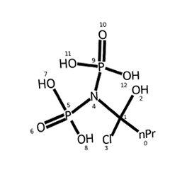 CCCC(O)(Cl)N(P(=O)(O)O)P(=O)(O)O